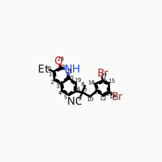 CCc1cc2ccc(C(C)(C#N)Cc3cc(Br)cc(Br)c3)cc2[nH]c1=O